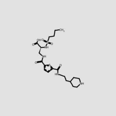 CCCCS(=O)(=O)N[C@@H](CNC(=O)c1ccc(C(=O)NCCC2CCNCC2)s1)C(=O)O